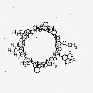 CCO[C@@H]1C[C@H]2C(=O)NC3(CCCC3)C(=O)N(C)[C@@H](C3CCCC3)C(=O)N(C)[C@H](C)CC(=O)N(C)[C@@H](CC(C)C)C(=O)N[C@@H]([C@@H](C)CC)C(=O)N(C)CC(=O)N(C)CC(=O)N(C)[C@@H](CC3CCCCC3)C(=O)N(C)CC(=O)N[C@@H](CCc3cc(F)c(C(F)(F)F)c(F)c3)C(=O)N2C1